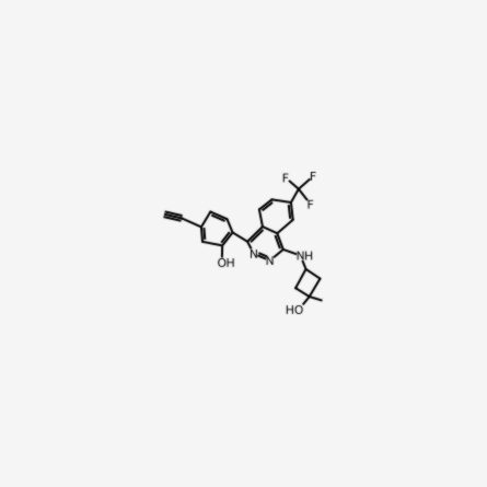 C#Cc1ccc(-c2nnc(NC3CC(C)(O)C3)c3cc(C(F)(F)F)ccc23)c(O)c1